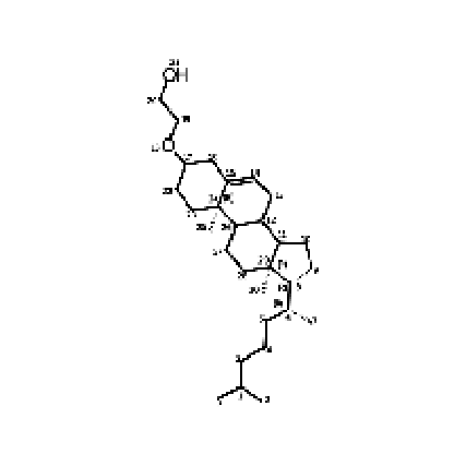 CC(C)CCC[C@@H](C)[C@H]1CCC2C3CC=C4CC(OCCO)CC[C@]4(C)C3CC[C@@]21C